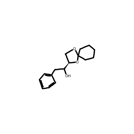 OC(Cc1ccccc1)[C@H]1COC2(CCCCC2)O1